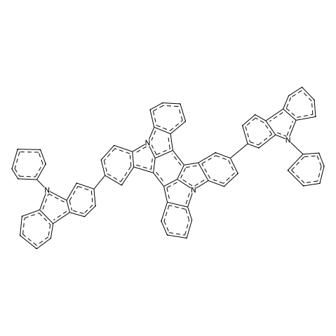 c1ccc(-n2c3ccccc3c3ccc(-c4ccc5c(c4)c4c6c7ccccc7n7c8ccc(-c9ccc%10c%11ccccc%11n(-c%11ccccc%11)c%10c9)cc8c(c8c9ccccc9n5c84)c67)cc32)cc1